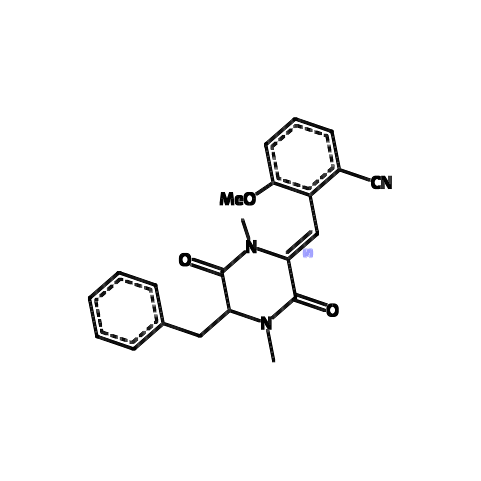 COc1cccc(C#N)c1/C=C1/C(=O)N(C)C(Cc2ccccc2)C(=O)N1C